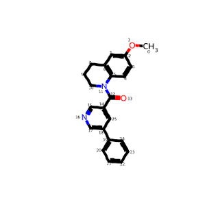 COc1ccc2c(c1)CCCN2C(=O)c1cncc(-c2ccccc2)c1